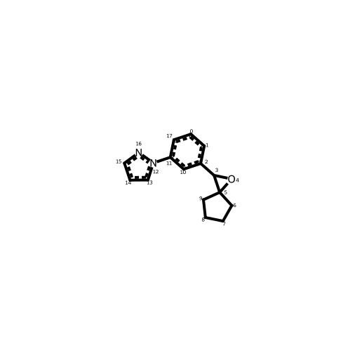 c1cc(C2OC23CCCC3)cc(-n2cccn2)c1